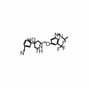 CC(C)n1cnc2cc(OC[C@@H]3C[C@](O)(c4cccc(C#N)c4)C[C@H](C)N3)cc(C(F)(F)F)c21